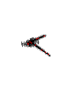 CCCCCCCCCCCCCCCCCCCCCCCCCC(=O)C(OC1O[C@H](CO)[C@H](O)[C@H](O)[C@H]1O)[C@@H](N)[C@H](O)[C@H](O)CCCCCCCCCCCCCC